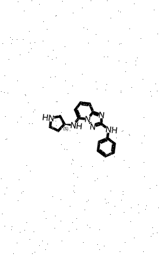 c1ccc(Nc2nc3cccc(N[C@H]4CCNC4)n3n2)cc1